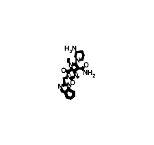 CCn1c(N2CCC[C@@H](N)C2)c(C(N)=O)c2c1c(=O)n(Cc1ncc3ccccc3n1)c(=O)n2C